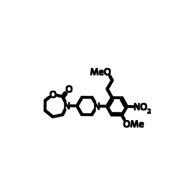 COCCc1cc([N+](=O)[O-])c(OC)cc1N1CCC(N2CCCCOC2=O)CC1